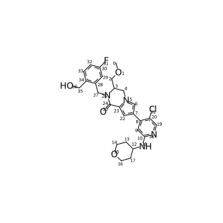 COCC1Cn2cc(-c3cc(NC4CCOCC4)ncc3Cl)cc2C(=O)N1Cc1cc(F)ccc1CO